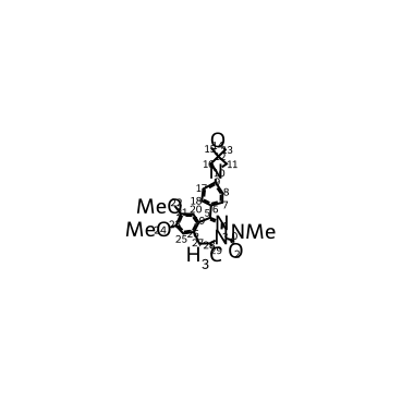 CNC(=O)N1N=C(c2ccc(N3CC4(COC4)C3)cc2)c2cc(OC)c(OC)cc2CC1C